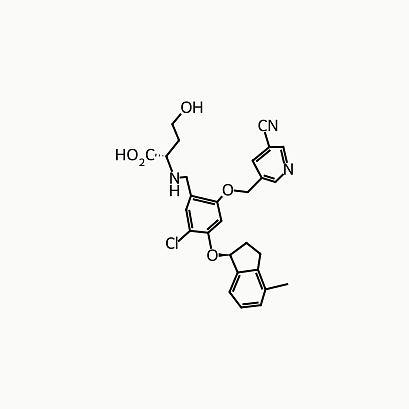 Cc1cccc2c1CC[C@@H]2Oc1cc(OCc2cncc(C#N)c2)c(CN[C@@H](CCO)C(=O)O)cc1Cl